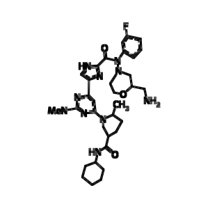 CNc1nc(-c2c[nH]c(C(=O)N(c3cccc(F)c3)N3CCOC(CN)C3)n2)cc(N2CC(C(=O)NC3CCCCC3)CCC2C)n1